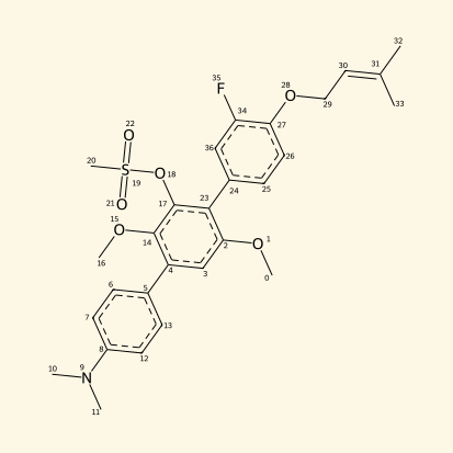 COc1cc(-c2ccc(N(C)C)cc2)c(OC)c(OS(C)(=O)=O)c1-c1ccc(OCC=C(C)C)c(F)c1